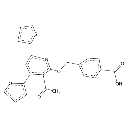 CC(=O)c1c(-c2ccco2)cc(-c2cccs2)nc1OCc1ccc(C(=O)O)cc1